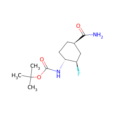 CC(C)(C)OC(=O)N[C@@H]1CC[C@@H](C(N)=O)C[C@H]1F